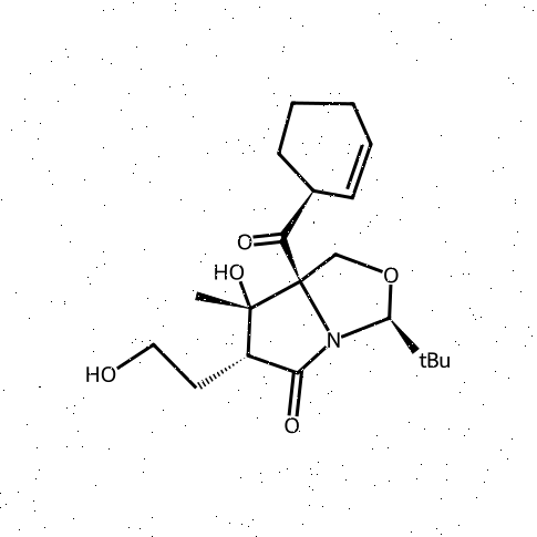 CC(C)(C)[C@@H]1OC[C@]2(C(=O)[C@@H]3C=CCCC3)N1C(=O)[C@H](CCO)[C@]2(C)O